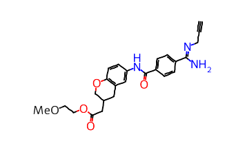 C#CCN=C(N)c1ccc(C(=O)Nc2ccc3c(c2)CC(CC(=O)OCCOC)CO3)cc1